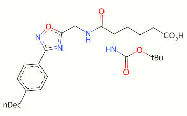 CCCCCCCCCCc1ccc(-c2noc(CNC(=O)C(CCCC(=O)O)NC(=O)OC(C)(C)C)n2)cc1